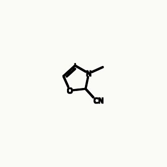 CN1[C]=COC1C#N